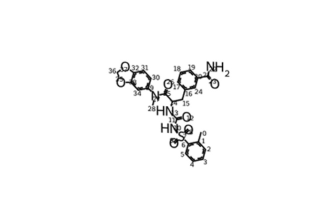 Cc1ccccc1S(=O)(=O)NC(=O)NC(Cc1cccc(C(N)=O)c1)C(=O)N(C)c1ccc2c(c1)OCO2